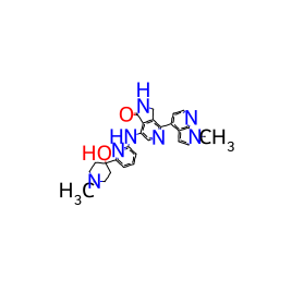 CN1CCC(O)(c2cccc(Nc3cnc(-c4ccnc5c4ccn5C)c4c3C(=O)NC4)n2)CC1